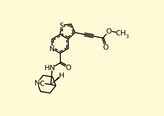 COC(=O)C#Cc1csc2cnc(C(=O)N[C@H]3CN4CCC3CC4)cc12